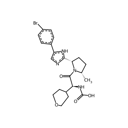 C[C@H]1CC[C@@H](c2ncc(-c3ccc(Br)cc3)[nH]2)N1C(=O)[C@@H](NC(=O)O)C1CCOCC1